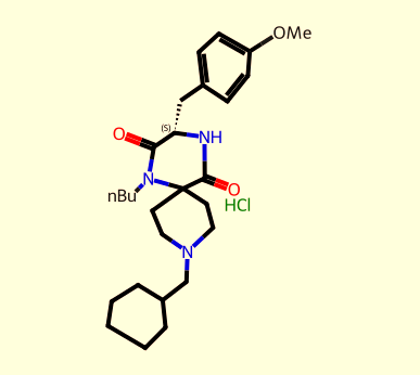 CCCCN1C(=O)[C@H](Cc2ccc(OC)cc2)NC(=O)C12CCN(CC1CCCCC1)CC2.Cl